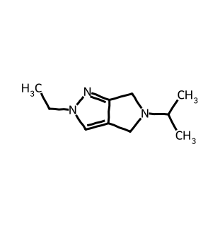 CCn1cc2c(n1)CN(C(C)C)C2